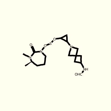 C[C@@H]1CCCN(OSOC2CC2N2CC3(CC(NC=O)C3)C2)C(=O)N1C